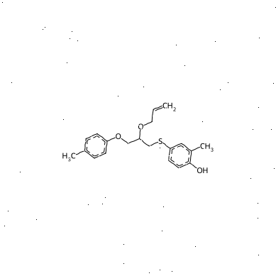 C=CCOC(COc1ccc(C)cc1)CSc1ccc(O)c(C)c1